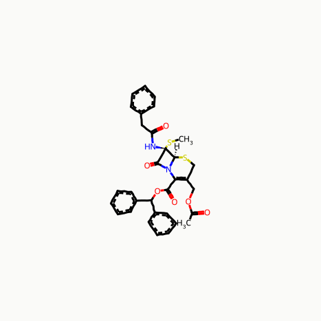 CS[C@@]1(NC(=O)Cc2ccccc2)C(=O)N2C(C(=O)OC(c3ccccc3)c3ccccc3)=C(COC(C)=O)CS[C@@H]21